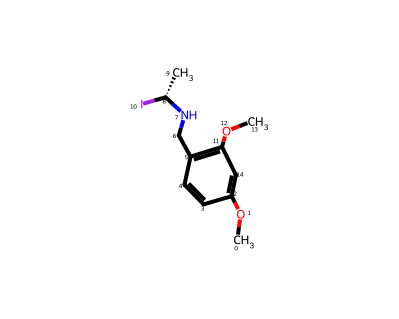 COc1ccc(CN[C@@H](C)I)c(OC)c1